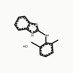 Cc1cccc(C)c1Nc1nc2ccccc2[nH]1.Cl